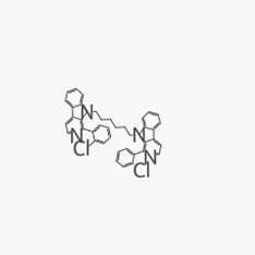 Clc1ccccc1-c1nccc2c3ccccc3n(CCCCCCn3c4ccccc4c4ccnc(-c5ccccc5Cl)c43)c12